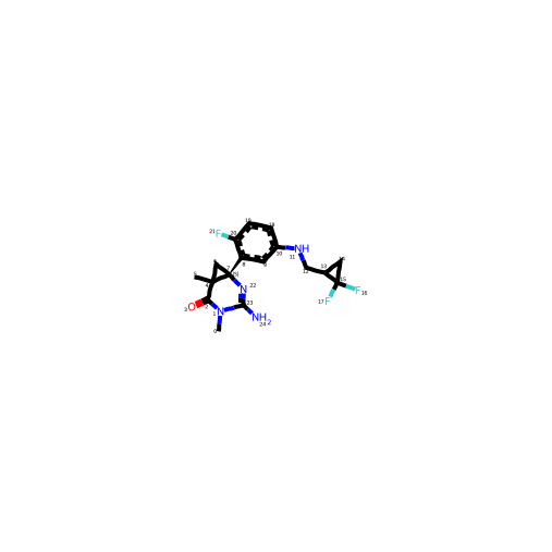 CN1C(=O)C2(C)C[C@]2(c2cc(NCC3CC3(F)F)ccc2F)N=C1N